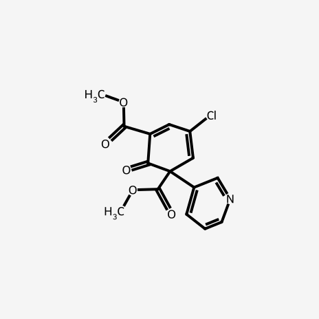 COC(=O)C1=CC(Cl)=CC(C(=O)OC)(c2cccnc2)C1=O